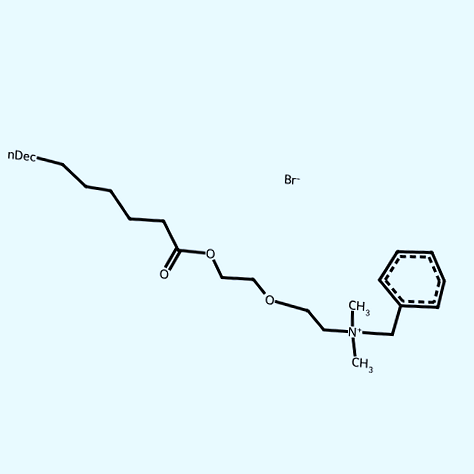 CCCCCCCCCCCCCCCC(=O)OCCOCC[N+](C)(C)Cc1ccccc1.[Br-]